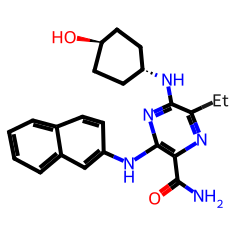 CCc1nc(C(N)=O)c(Nc2ccc3ccccc3c2)nc1N[C@H]1CC[C@H](O)CC1